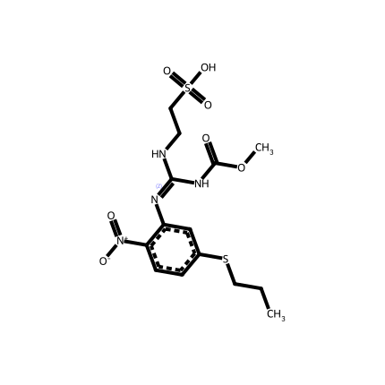 CCCSc1ccc([N+](=O)[O-])c(/N=C(/NCCS(=O)(=O)O)NC(=O)OC)c1